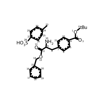 CC(C)(C)OC(=O)c1ccc(CC(N)C(=O)OCc2ccccc2)cc1.Cc1ccc(S(=O)(=O)O)cc1